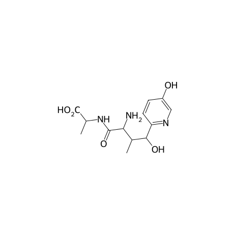 CC(NC(=O)C(N)C(C)C(O)c1ccc(O)cn1)C(=O)O